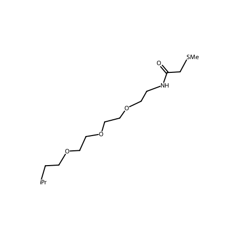 CSCC(=O)NCCOCCOCCOCCC(C)C